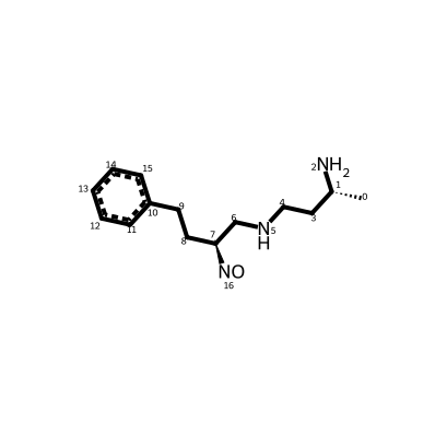 C[C@@H](N)CCNC[C@H](CCc1ccccc1)N=O